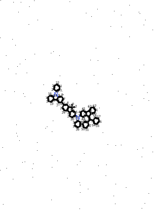 CC1(C)c2cc(-c3ccc4c(c3)c3ccccc3n4-c3ccccc3)ccc2-c2ccc(N(c3ccccc3)c3ccc4c(c3)C(=C(c3ccccc3)c3ccccc3)c3ccccc3-4)cc21